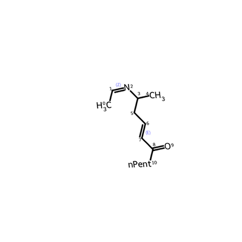 C/C=N\C(C)C/C=C/C(=O)CCCCC